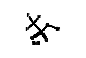 O=S(=O)(OBr)C(F)(F)F.[NaH]